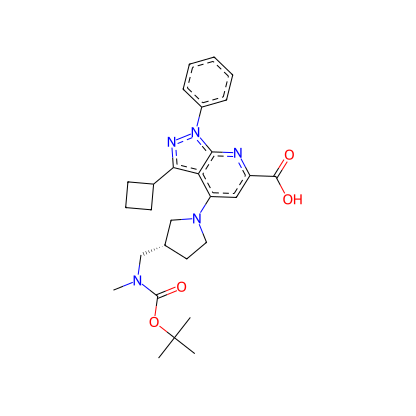 CN(C[C@H]1CCN(c2cc(C(=O)O)nc3c2c(C2CCC2)nn3-c2ccccc2)C1)C(=O)OC(C)(C)C